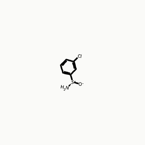 N[S@+]([O-])c1cccc(Cl)c1